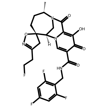 C[C@H]1CC[C@]2(CC(CCF)=NO2)[C@H]2CN1C(=O)c1c(O)c(=O)c(C(=O)NCc3c(F)cc(F)cc3F)cn12